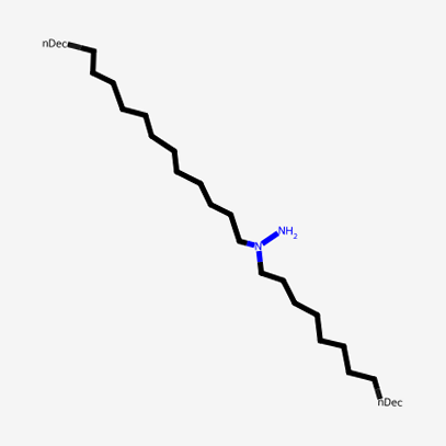 CCCCCCCCCCCCCCCCCCCCCCN(N)CCCCCCCCCCCCCCCCCC